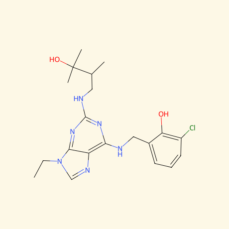 CCn1cnc2c(NCc3cccc(Cl)c3O)nc(NCC(C)C(C)(C)O)nc21